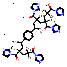 CCC(C)(CC(C)(CC(C)c1ccc(C(C)CC(C)(CC(C)(CC(C)(C)C(=O)n2ccnc2)C(=O)n2ccnc2)C(=O)n2ccnc2)cc1)C(=O)n1ccnc1)C(=O)n1ccnc1